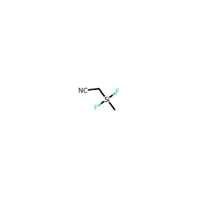 C[Si](F)(F)CC#N